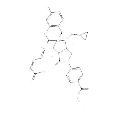 C=C(Cl)/C=C\C=C(/F)[C@H]1[C@@H]2C(=O)N(c3ccc(C(=O)OC)cc3)C[C@@H]2N(CC2CC2)[C@]12Cc1ccc(Cl)cc1NC2=O